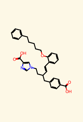 O=C(O)c1ccc(CC(/C=C/c2ccccc2OCCCCCc2ccccc2)CCn2cnc(C(=O)O)c2)cc1